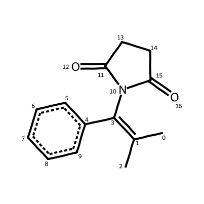 CC(C)=C(c1ccccc1)N1C(=O)CCC1=O